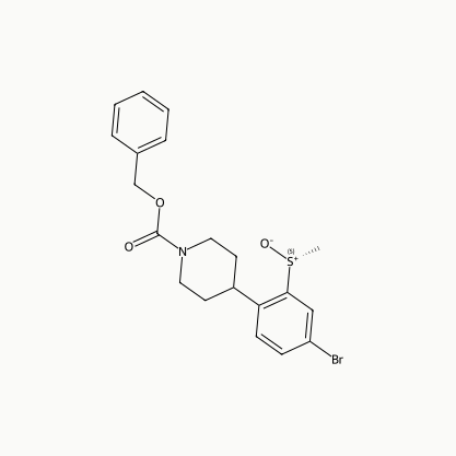 C[S@@+]([O-])c1cc(Br)ccc1C1CCN(C(=O)OCc2ccccc2)CC1